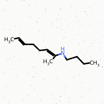 CC=CCC/C=C(\C)NCCCC